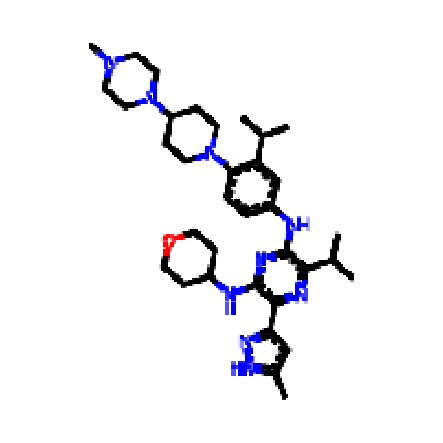 Cc1cc(-c2nc(C(C)C)c(Nc3ccc(N4CCC(N5CCN(C)CC5)CC4)c(C(C)C)c3)nc2NC2CCOCC2)n[nH]1